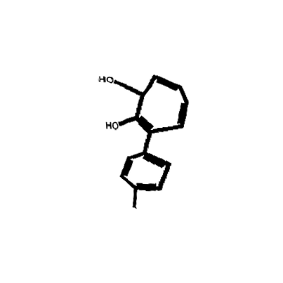 Cc1ccc(C2=C(O)C(O)C=CC=C2)cc1